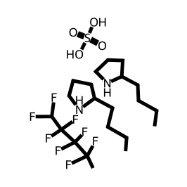 CC(F)(F)C(F)(F)C(F)(F)C(F)F.CCCCC1CCCN1.CCCCC1CCCN1.O=S(=O)(O)O